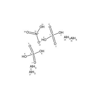 O=S(=O)(O)O.O=S(=O)(O)O.O=[N+]([O-])O.[AlH3].[AlH3].[AlH3].[AlH3]